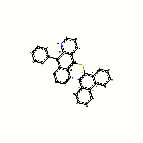 c1ccc(-c2c3ccccc3c(Sc3cc4ccccc4c4ccccc34)c3cccnc23)cc1